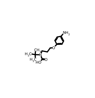 CC(C)(C)N(CCCOc1ccc(N)cc1)C(=O)O